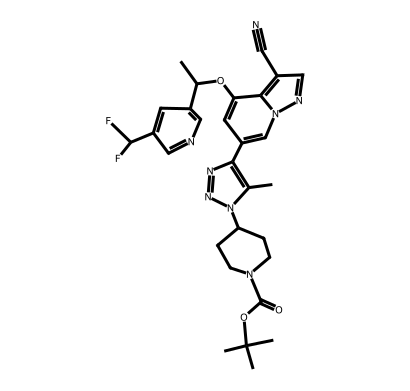 Cc1c(-c2cc(OC(C)c3cncc(C(F)F)c3)c3c(C#N)cnn3c2)nnn1C1CCN(C(=O)OC(C)(C)C)CC1